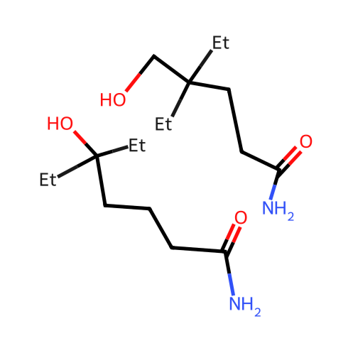 CCC(CC)(CO)CCC(N)=O.CCC(O)(CC)CCCC(N)=O